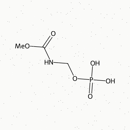 COC(=O)NCOP(=O)(O)O